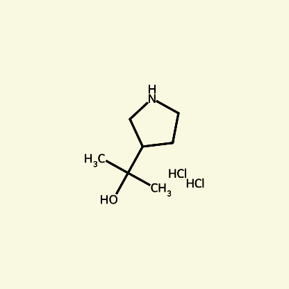 CC(C)(O)C1CCNC1.Cl.Cl